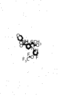 CC1(NC(=O)c2ccc3c(c2)C(C)(C)C(=O)N3c2cc(OC(F)C(F)(F)F)c(F)cn2)CCOCC1